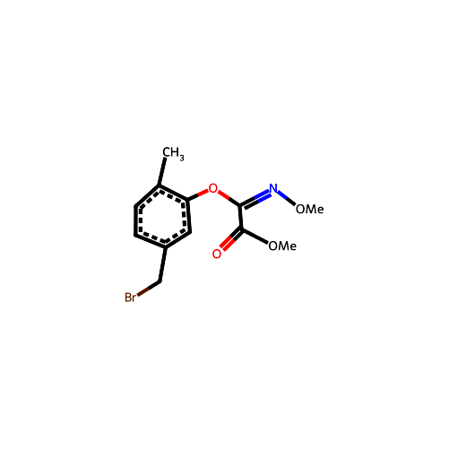 CO/N=C(/Oc1cc(CBr)ccc1C)C(=O)OC